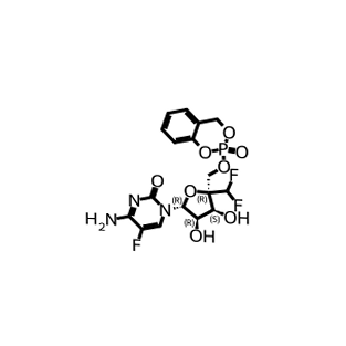 Nc1nc(=O)n([C@@H]2O[C@@](COP3(=O)OCc4ccccc4O3)(C(F)F)[C@@H](O)[C@H]2O)cc1F